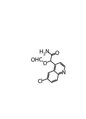 NC(=O)C(OC=O)c1ccnc2ccc(Cl)cc12